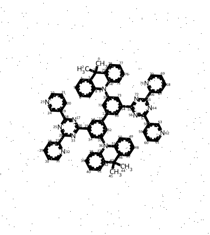 CC1(C)c2ccccc2N(c2cc(-c3cc(-c4nc(-c5cccnc5)nc(-c5ccccn5)n4)cc(N4c5ccccc5C(C)(C)c5ccccc54)c3)cc(-c3nc(-c4cccnc4)nc(-c4ccccn4)n3)c2)c2ccccc21